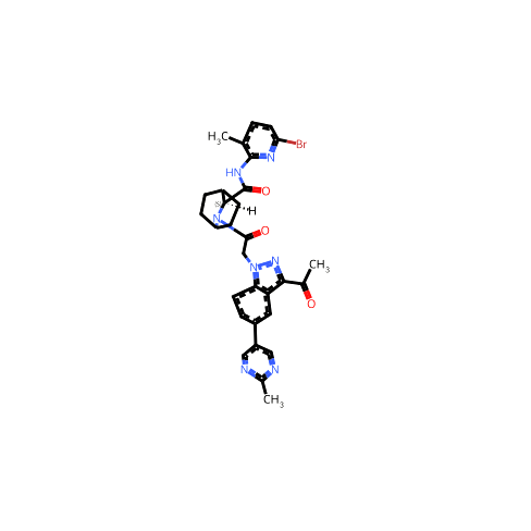 CC(=O)c1nn(CC(=O)N2C3CCC(CC3)[C@H]2C(=O)Nc2nc(Br)ccc2C)c2ccc(-c3cnc(C)nc3)cc12